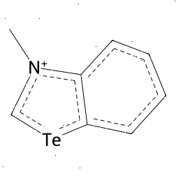 C[n+]1c[te]c2ccccc21